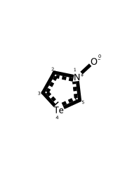 [O-][n+]1cc[te]c1